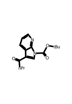 CCCC(=O)c1cn(C(=O)OC(C)(C)C)c2ncccc12